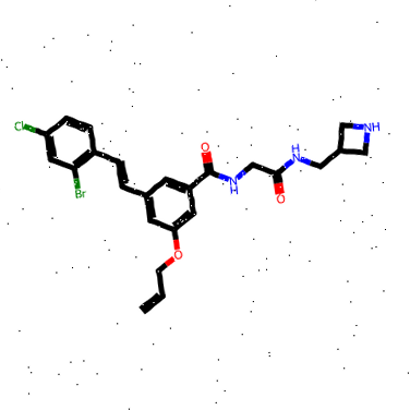 C=CCOc1cc(/C=C/c2ccc(Cl)cc2Br)cc(C(=O)NCC(=O)NCC2CNC2)c1